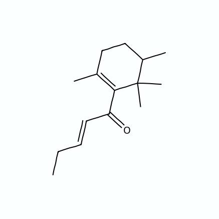 CCC=CC(=O)C1=C(C)CCC(C)C1(C)C